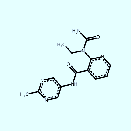 CCN(C(N)=O)c1ncccc1C(=O)Nc1cnc(C)nc1